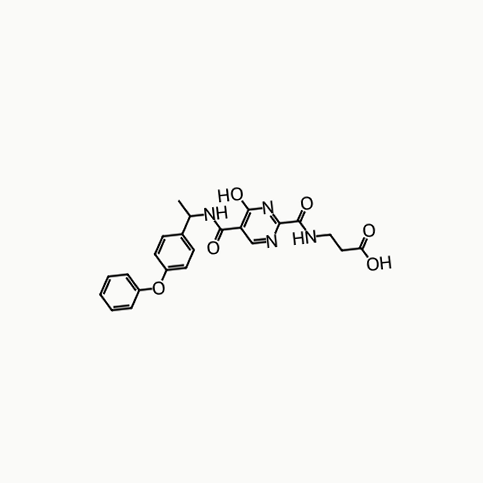 CC(NC(=O)c1cnc(C(=O)NCCC(=O)O)nc1O)c1ccc(Oc2ccccc2)cc1